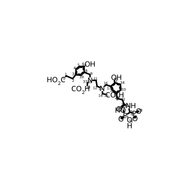 O=C(O)CCc1ccc(O)c(CN(CCN(CC(=O)O)Cc2cc(CCC(=O)NC(P(=O)=O)P(=O)(O)O)ccc2O)CC(=O)O)c1